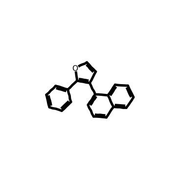 c1ccc(-c2occc2-c2cccc3ccccc23)cc1